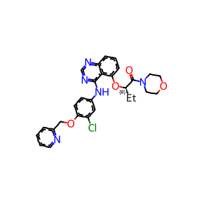 CC[C@@H](Oc1cccc2ncnc(Nc3ccc(OCc4ccccn4)c(Cl)c3)c12)C(=O)N1CCOCC1